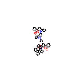 O=c1oc2c(ccc3c4ccccc4n(-c4ccc5c(c4)c4ccccc4n5-c4ccc(-c5cc6c7ccccc7c(=O)oc6c6c5c5ccccc5n6-c5cccc6c5C5(c7ccccc7-c7ccccc75)c5ccccc5-6)cc4)c32)c2ccccc12